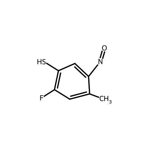 Cc1cc(F)c(S)cc1N=O